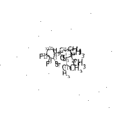 CC(C)[Si](OCC1=C(Br)C(F)=C(F)C[CH]1)(C(C)C)C(C)C